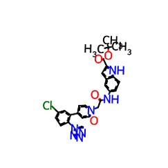 CC(C)(C)OC(=O)c1cc2cc(NC(=O)Cn3ccc(-c4cc(Cl)ccc4-n4cnnn4)cc3=O)ccc2[nH]1